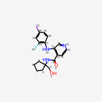 O=C(NC1(CO)CCCC1)c1ccncc1Nc1ccc(I)cc1F